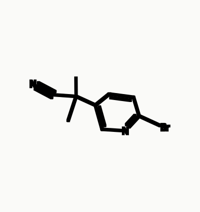 CC(C)(C#N)c1ccc(Br)nc1